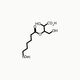 CCCCCCCCCCCCCCCC(=O)OC(CO)C(O)C(=O)O